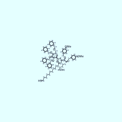 CCCCCCCCCCCCCC[C@@H](OCc1ccc(OC)cc1)[C@@H](OCc1ccc(OC)cc1)[C@H](CO[C@H]1OC(COCc2ccccc2)[C@H](OCc2ccccc2)[C@H](OCc2ccccc2)[C@H]1OCc1ccccc1)CC(=O)CCCCCCCCCCCS